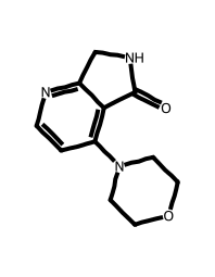 O=C1NCc2nccc(N3CCOCC3)c21